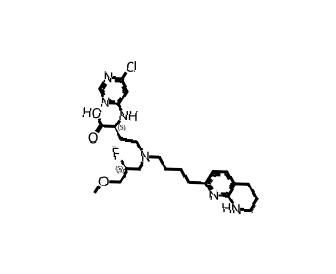 COC[C@@H](F)CN(CCCCc1ccc2c(n1)NCCC2)CC[C@H](Nc1cc(Cl)ncn1)C(=O)O